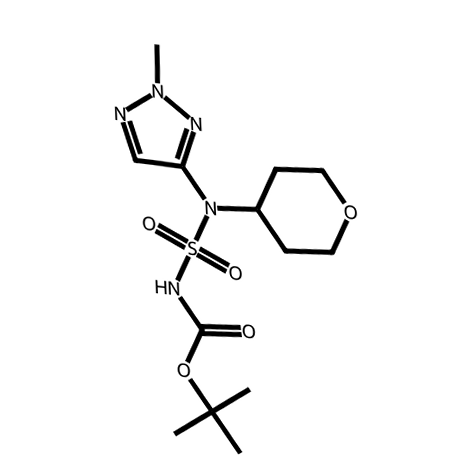 Cn1ncc(N(C2CCOCC2)S(=O)(=O)NC(=O)OC(C)(C)C)n1